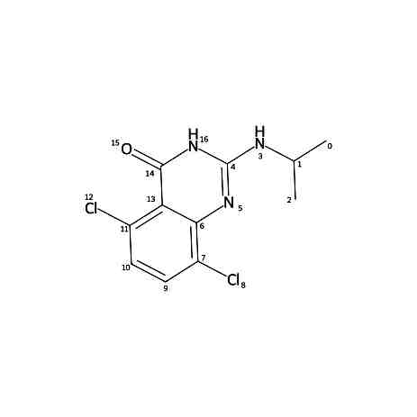 CC(C)Nc1nc2c(Cl)ccc(Cl)c2c(=O)[nH]1